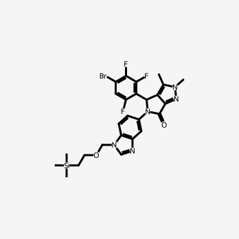 Cc1c2c(nn1C)C(=O)N(c1ccc3c(c1)ncn3COCC[Si](C)(C)C)C2c1c(F)cc(Br)c(F)c1F